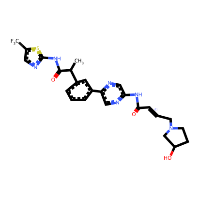 CC(C(=O)Nc1ncc(C(F)(F)F)s1)c1cccc(-c2cnc(NC(=O)/C=C/CN3CCC(O)C3)cn2)c1